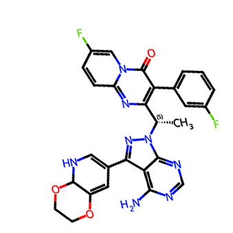 C[C@@H](c1nc2ccc(F)cn2c(=O)c1-c1cccc(F)c1)n1nc(C2=CNC3OCCOC3=C2)c2c(N)ncnc21